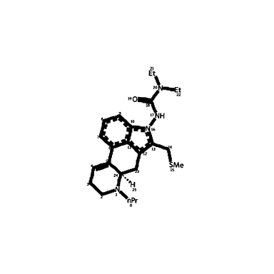 CCCN1CCC=C2c3cccc4c3c(c(CSC)n4NC(=O)N(CC)CC)C[C@H]21